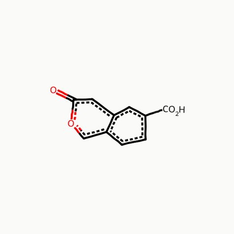 O=C(O)c1ccc2coc(=O)cc2c1